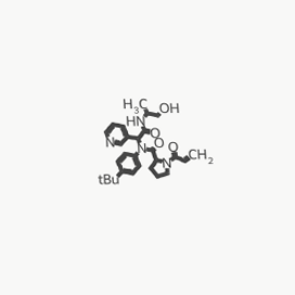 C=CC(=O)N1CCCC1C(=O)N(c1ccc(C(C)(C)C)cc1)C(C(=O)NC(C)CO)c1cccnc1